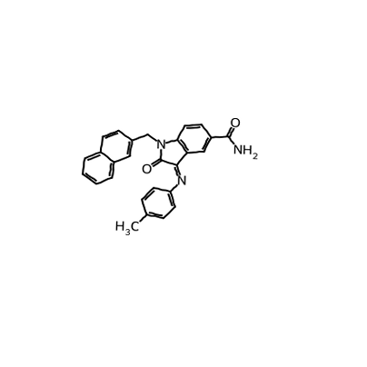 Cc1ccc(N=C2C(=O)N(Cc3ccc4ccccc4c3)c3ccc(C(N)=O)cc32)cc1